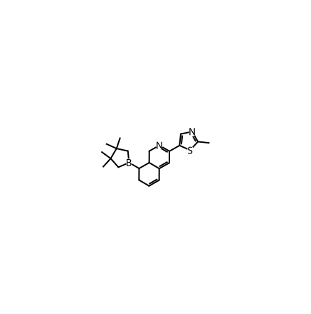 Cc1ncc(C2=NCC3C(=C2)C=CCC3B2CC(C)(C)C(C)(C)C2)s1